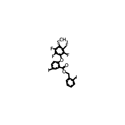 CSc1c(F)c(F)c(Oc2ccc(I)cc2C(=O)OCc2ccccc2I)c(F)c1F